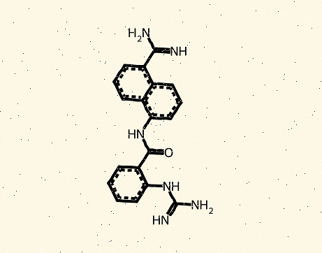 N=C(N)Nc1ccccc1C(=O)Nc1cccc2c(C(=N)N)cccc12